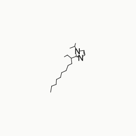 CCCCCCCCCC(CC)c1nccn1C(C)C